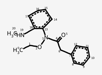 CCON(C(=O)Cc1ccccc1)c1ccccc1NC